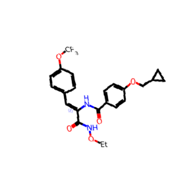 CCONC(=O)/C(=C/c1ccc(OC(F)(F)F)cc1)NC(=O)c1ccc(OCC2CC2)cc1